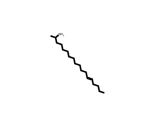 CCCCC=CCCCCCCCCCCC(C)N